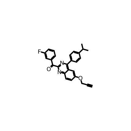 C#CCOc1ccc2nc(C(=O)c3cccc(F)c3)nc(-c3ccc(C(C)C)cc3)c2c1